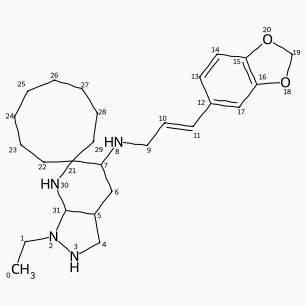 CCN1NCC2CC(NC/C=C/c3ccc4c(c3)OCO4)C3(CCCCCCCC3)NC21